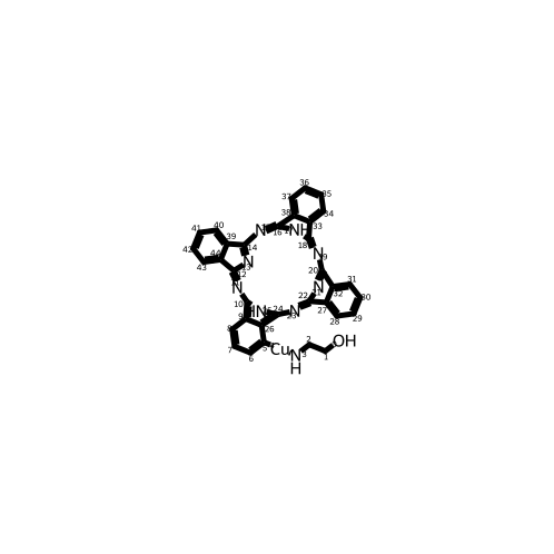 OCC[NH][Cu][c]1cccc2c3nc4nc(nc5[nH]c(nc6nc(nc([nH]3)c12)-c1ccccc1-6)c1ccccc51)-c1ccccc1-4